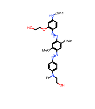 CCN(CCO)c1ccc(/N=N/c2cc(OC)c(/N=N/c3ccc(NOC)cc3OCCO)cc2OC)cc1